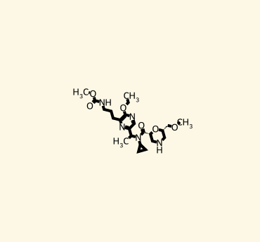 CCOc1ncc(C(C)N(C(=O)[C@H]2CNC[C@@H](COC)O2)C2CC2)nc1CCCNC(=O)OC